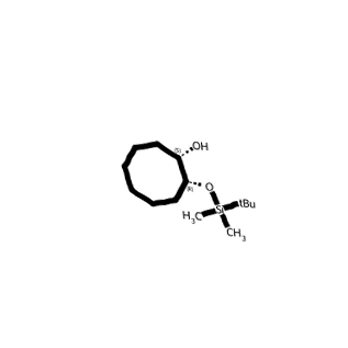 CC(C)(C)[Si](C)(C)O[C@@H]1CCCCCC[C@@H]1O